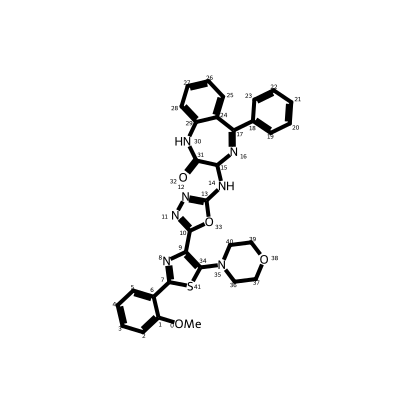 COc1ccccc1-c1nc(-c2nnc(NC3N=C(c4ccccc4)c4ccccc4NC3=O)o2)c(N2CCOCC2)s1